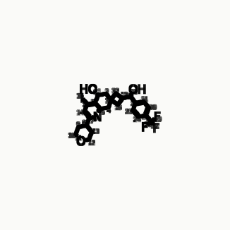 OC1CC2(Cc3nc(C4CCOCC4)cc(I)c31)CC(C(O)c1ccc(C(F)(F)F)cc1)C2